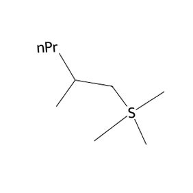 CCCC(C)CS(C)(C)C